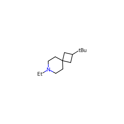 CCN1CCC2(CC1)CC(C(C)(C)C)C2